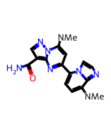 CNc1ccc(-c2cc(NC)n3ncc(C(N)=O)c3n2)n2ccnc12